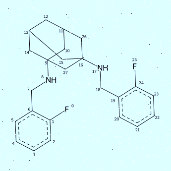 Fc1ccccc1CNC12CC3CC(C1)CC(NCc1ccccc1F)(C3)C2